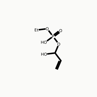 C=CC(O)OP(=O)(O)OCC